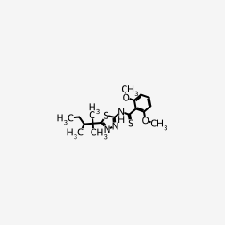 CCC(C)C(C)(C)c1nnc(NC(=S)c2c(OC)cccc2OC)s1